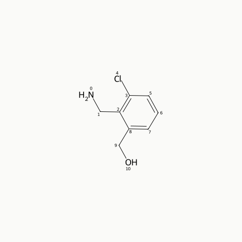 NCc1c(Cl)cccc1CO